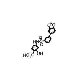 O=C(O)c1ccc(NS(=O)(=O)c2cccc(-c3ccc4c(c3)OCO4)c2)cc1O